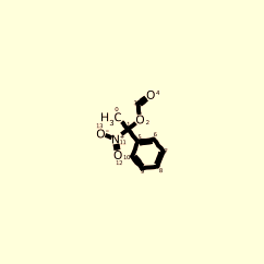 CC(O[C]=O)(c1ccccc1)[N+](=O)[O-]